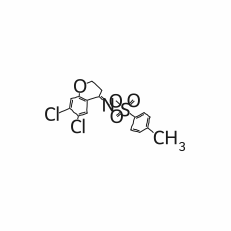 Cc1ccc(S(=O)(=O)ON=C2CCOc3cc(Cl)c(Cl)cc32)cc1